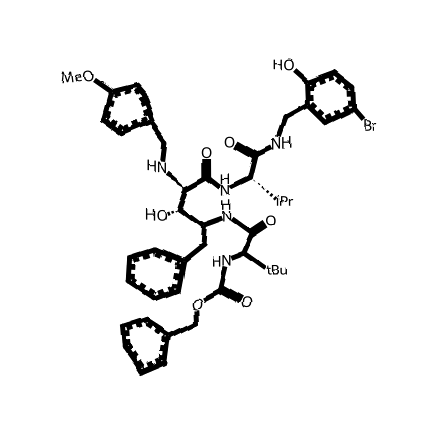 COc1ccc(CN[C@@H](C(=O)N[C@H](C(=O)NCc2cc(Br)ccc2O)C(C)C)[C@@H](O)C(Cc2ccccc2)NC(=O)C(NC(=O)OCc2ccccc2)C(C)(C)C)cc1